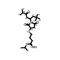 CC(C)SC(=N)CCCSC1CC(=O)N(C(CC(=O)C(C)C)CC(C)(C)C)C1=O